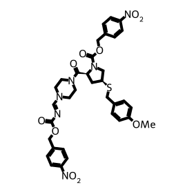 COc1ccc(CS[C@H]2C[C@@H](C(=O)N3CCN(C=NC(=O)OCc4ccc([N+](=O)[O-])cc4)CC3)N(C(=O)OCc3ccc([N+](=O)[O-])cc3)C2)cc1